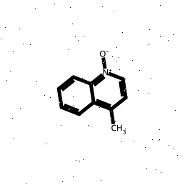 Cc1c[c][n+]([O-])c2ccccc12